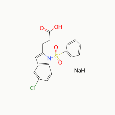 O=C(O)CCc1cc2cc(Cl)ccc2n1S(=O)(=O)c1ccccc1.[NaH]